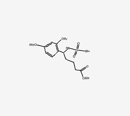 COC(=O)CCCC(NS(=O)(=O)C(C)(C)C)c1ccc(OC)cc1OC